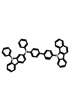 c1c(-c2ccc(N(c3ccccc3)c3ccc4c5ccccc5n(-c5ccccc5)c4c3)cc2)ccc(-n2c3ccccc3c3ccc4ccccc4c32)c#1